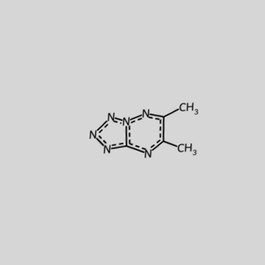 Cc1nc2nnnn2nc1C